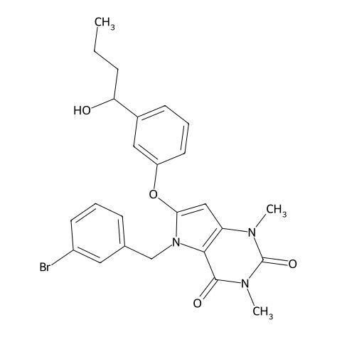 CCCC(O)c1cccc(Oc2cc3c(c(=O)n(C)c(=O)n3C)n2Cc2cccc(Br)c2)c1